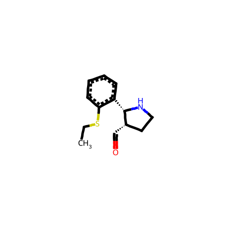 CCSc1ccccc1[C@@H]1NCC[C@@H]1C=O